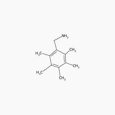 Cc1c(C)c(C)c(CN)c(C)c1C